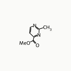 COC(=O)c1ccnc(C)n1